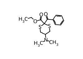 CCOC(=O)C1(C(=O)c2ccccc2)SCC(N(C)C)CS1